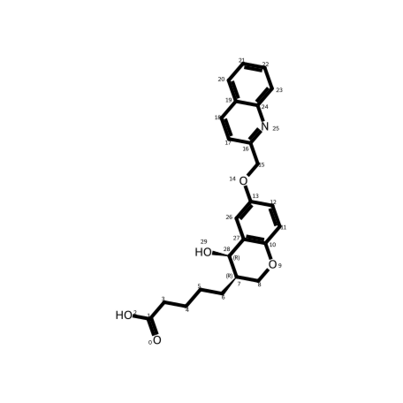 O=C(O)CCCC[C@@H]1COc2ccc(OCc3ccc4ccccc4n3)cc2[C@@H]1O